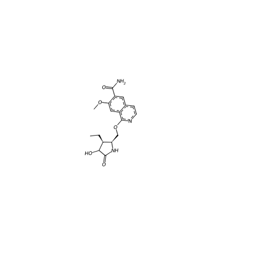 CC[C@@H]1C(O)C(=O)N[C@@H]1COc1nccc2cc(C(N)=O)c(OC)cc12